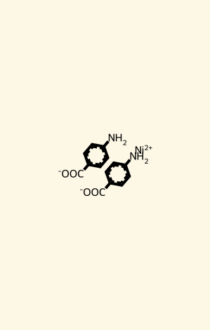 Nc1ccc(C(=O)[O-])cc1.Nc1ccc(C(=O)[O-])cc1.[Ni+2]